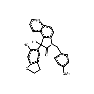 COc1ccc(CN2C(=O)C(O)(c3cc4c(cc3O)OCC4)c3c2ccc2ncccc32)cc1